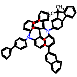 CC1(C)c2ccccc2-c2ccc(N(c3ccc(-c4ccc5ccccc5c4)cc3)c3ccccc3-c3ccccc3N(c3ccc(-c4ccccc4)cc3)c3cccc(-c4ccccc4)c3)cc21